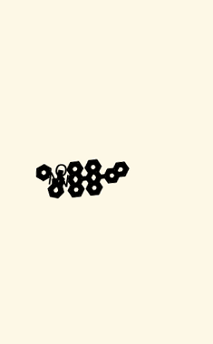 O=c1n(-c2ccccc2)c2ccccc2n1-c1c2ccccc2c(-c2c3ccccc3c(-c3ccc4ccccc4c3)c3ccccc23)c2ccccc12